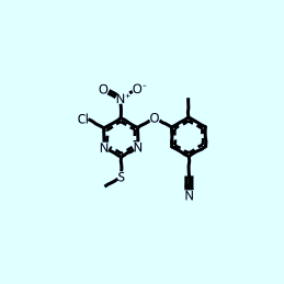 CSc1nc(Cl)c([N+](=O)[O-])c(Oc2cc(C#N)ccc2C)n1